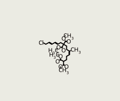 COC(=O)C(CCC=C(C)CCC(CC=CC=CCCl)(C(=O)OC)C(=O)OC)C(=O)OC